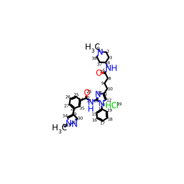 CN1CCC(NC(=O)CCCc2cn(-c3ccccc3)c(NC(=O)c3cccc(-c4cnn(C)c4)c3)n2)CC1.Cl